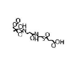 CC1(C)COC(=O)O[C@H]1C(=O)NCCC(=O)NCCSC(=O)CCC(=O)O